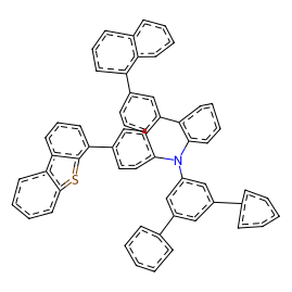 c1ccc(-c2cc(-c3ccccc3)cc(N(c3ccc(-c4cccc5c4sc4ccccc45)cc3)c3ccccc3-c3cccc(-c4cccc5ccccc45)c3)c2)cc1